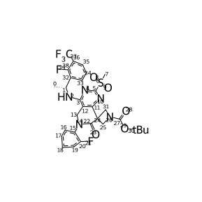 C[C@@H](Nc1nc(S(C)(=O)=O)nc2c1CN(c1ccccc1F)C(=O)C21CN(C(=O)OC(C)(C)C)C1)c1cccc(C(F)(F)F)c1F